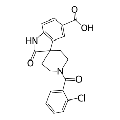 O=C(O)c1ccc2c(c1)C1(CCN(C(=O)c3ccccc3Cl)CC1)C(=O)N2